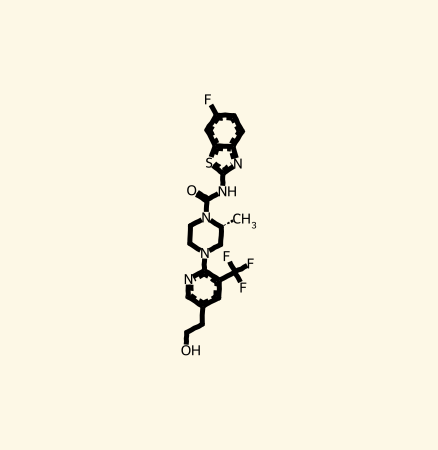 C[C@@H]1CN(c2ncc(CCO)cc2C(F)(F)F)CCN1C(=O)Nc1nc2ccc(F)cc2s1